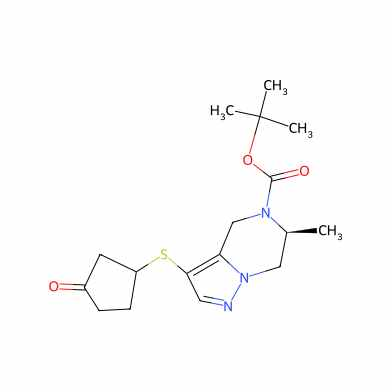 C[C@H]1Cn2ncc(SC3CCC(=O)C3)c2CN1C(=O)OC(C)(C)C